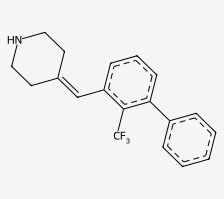 FC(F)(F)c1c(C=C2CCNCC2)cccc1-c1ccccc1